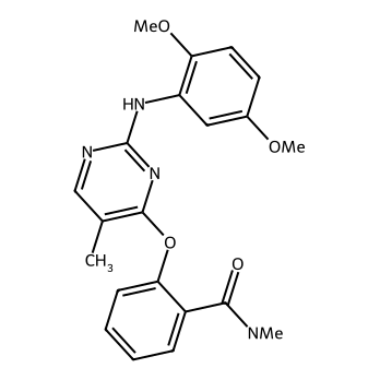 CNC(=O)c1ccccc1Oc1nc(Nc2cc(OC)ccc2OC)ncc1C